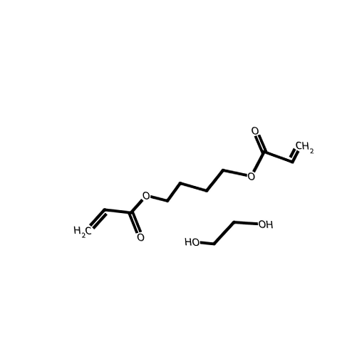 C=CC(=O)OCCCCOC(=O)C=C.OCCO